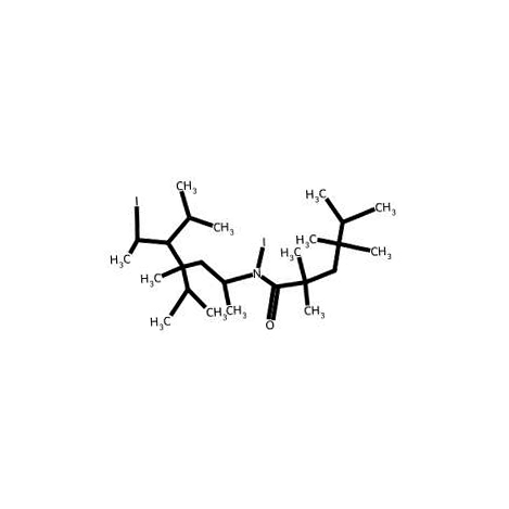 CC(C)C(C(C)I)C(C)(CC(C)N(I)C(=O)C(C)(C)CC(C)(C)C(C)C)C(C)C